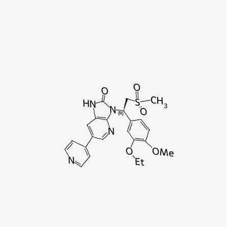 CCOc1cc([C@H](CS(C)(=O)=O)n2c(=O)[nH]c3cc(-c4ccncc4)cnc32)ccc1OC